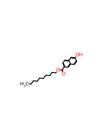 CCCCCCCCCCOC(=O)c1ccc2cc(O)ccc2c1